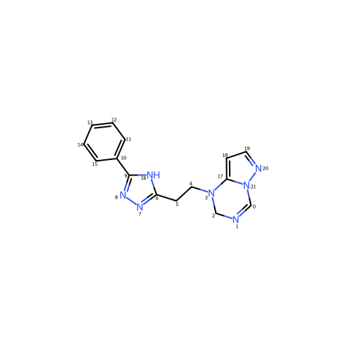 C1=NCN(CCc2nnc(-c3ccccc3)[nH]2)c2ccnn21